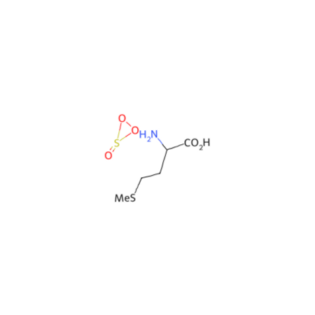 CSCCC(N)C(=O)O.O=S1OO1